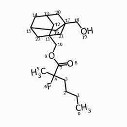 CCCCC(C)(F)C(=O)OCC12CC3CC(CC(CO)(C3)C1)C2